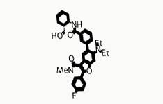 CCN(CC)c1cc2oc(-c3ccc(F)cc3)c(C(=O)NC)c2cc1-c1cccc(C(=O)N[C@H]2CC=CC[C@H]2CO)c1